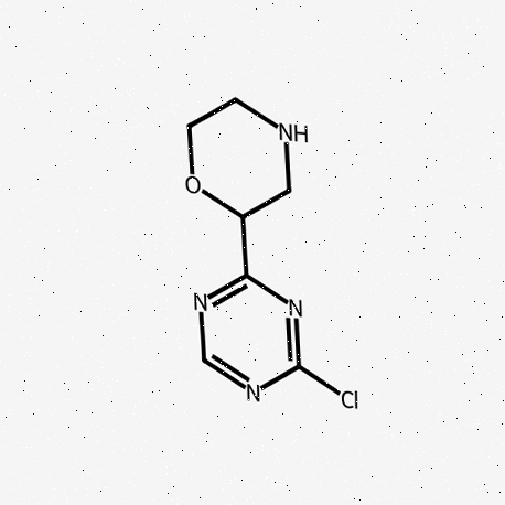 Clc1ncnc(C2CNCCO2)n1